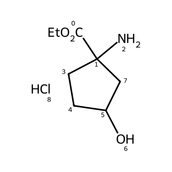 CCOC(=O)C1(N)CCC(O)C1.Cl